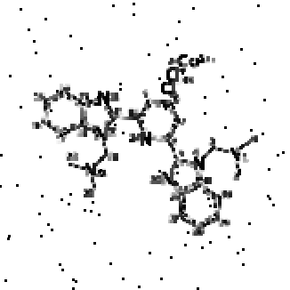 CN(C)Cn1c(-c2cccc(-c3nc4ccccc4n3CN(C)C)n2)nc2ccccc21.[Cl-].[Cl-].[Co+2]